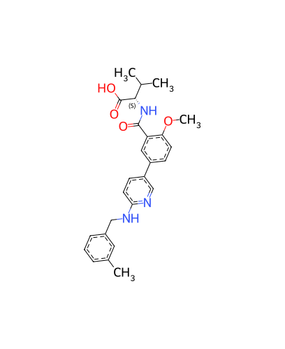 COc1ccc(-c2ccc(NCc3cccc(C)c3)nc2)cc1C(=O)N[C@H](C(=O)O)C(C)C